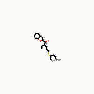 C=C/C(=C\C=C\SC(/C=C\CCCCCC)=C/CC)C(=O)c1cc2ccccc2o1